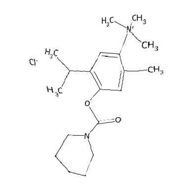 Cc1cc(OC(=O)N2CCCCC2)c(C(C)C)cc1[N+](C)(C)C.[Cl-]